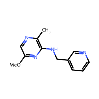 COc1cnc(C)c(NCc2cccnc2)n1